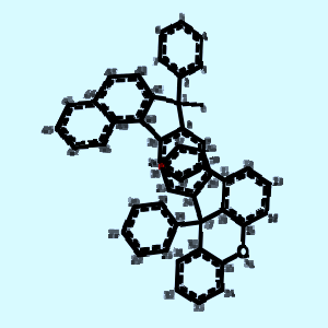 CC1(c2ccccc2)c2cc(-c3cccc4c3C(c3ccccc3)(c3ccccc3)c3ccccc3O4)ccc2-c2c1ccc1ccccc21